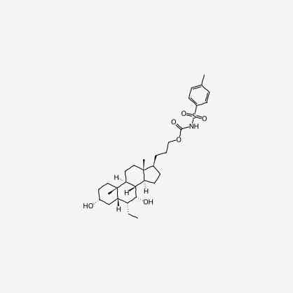 CC[C@H]1[C@@H](O)[C@@H]2[C@H](CC[C@]3(C)[C@@H](CCCOC(=O)NS(=O)(=O)c4ccc(C)cc4)CC[C@@H]23)[C@@]2(C)CC[C@@H](O)C[C@@H]12